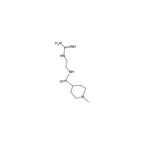 CN1CCC(C(=O)NCCNC(=N)N)CC1